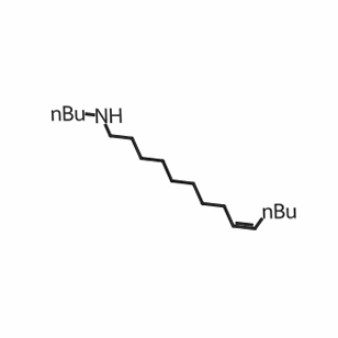 CCCC/C=C\CCCCCCCCNCCCC